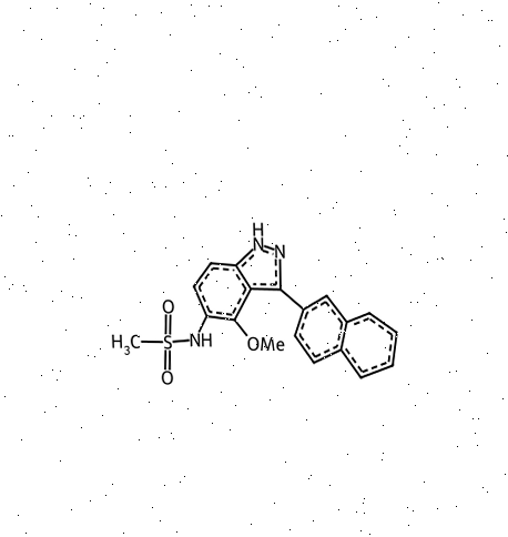 COc1c(NS(C)(=O)=O)ccc2[nH]nc(-c3ccc4ccccc4c3)c12